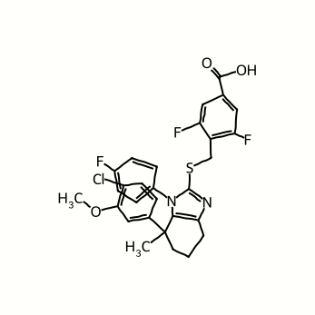 COc1cc(C2(C)CCCc3nc(SCc4c(F)cc(C(=O)O)cc4F)n(-c4ccc(F)cc4)c32)ccc1Cl